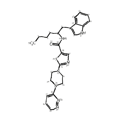 CCCCC(Cc1c[nH]c2ccccc12)NC(=O)c1cnc(N2CCN(c3cccnn3)CC2)s1